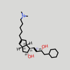 CN(C)CCCCCC1=C[C@H]2C[C@@H](O)[C@H](/C=C/[C@H](O)CC3CCCCC3)[C@H]2C1